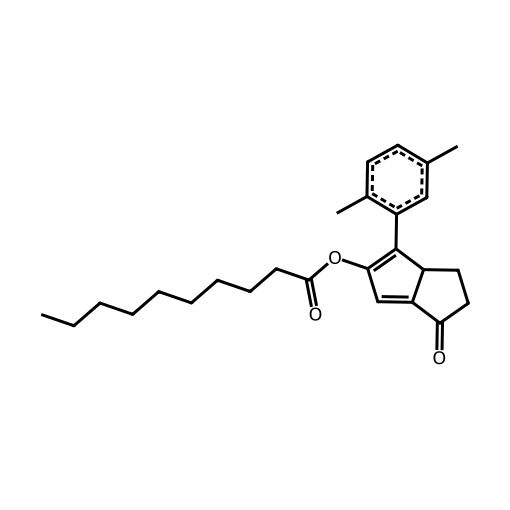 CCCCCCCCCC(=O)OC1=C(c2cc(C)ccc2C)C2CCC(=O)C2=C1